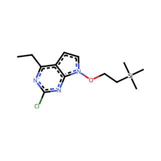 CCc1nc(Cl)nc2c1ccn2OCC[Si](C)(C)C